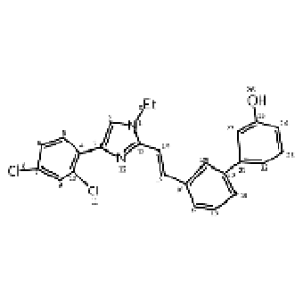 CCn1cc(-c2ccc(Cl)cc2Cl)nc1C=Cc1cccc(-c2cccc(O)c2)c1